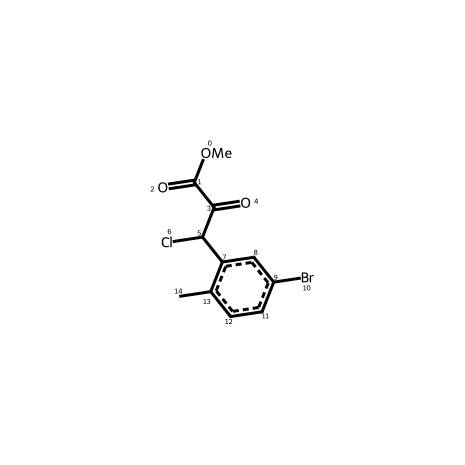 COC(=O)C(=O)C(Cl)c1cc(Br)ccc1C